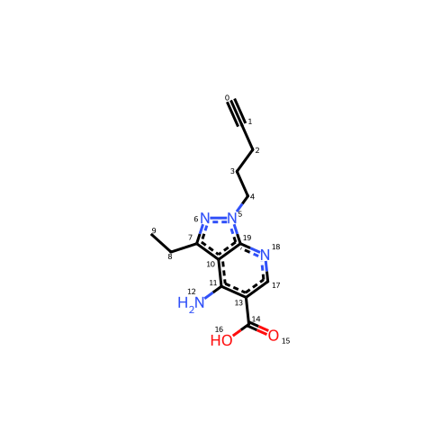 C#CCCCn1nc(CC)c2c(N)c(C(=O)O)cnc21